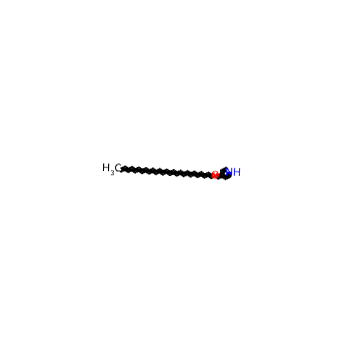 CCCCCCCCCCCCCCCCCCCCCCCCCCCCOCC1CCNCC1